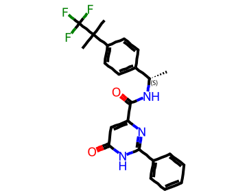 C[C@H](NC(=O)c1cc(=O)[nH]c(-c2ccccc2)n1)c1ccc(C(C)(C)C(F)(F)F)cc1